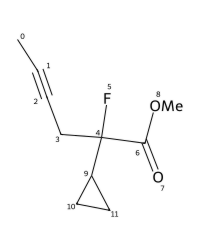 CC#CCC(F)(C(=O)OC)C1CC1